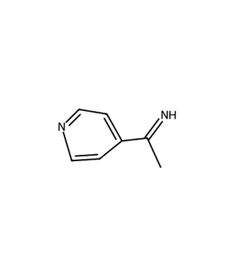 CC(=N)c1ccncc1